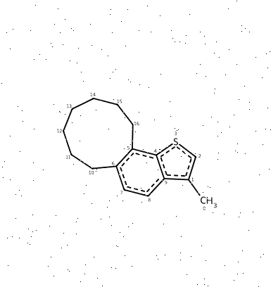 Cc1csc2c3c(ccc12)CCCCCCC3